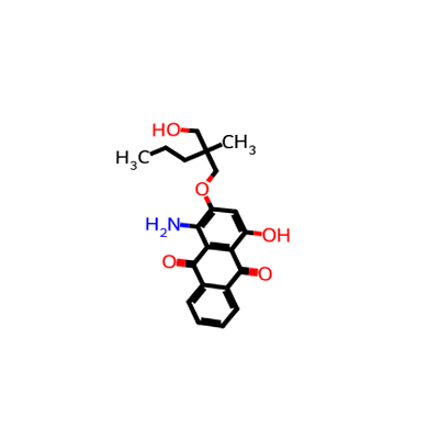 CCCC(C)(CO)COc1cc(O)c2c(c1N)C(=O)c1ccccc1C2=O